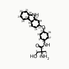 CC(N)(CO)C(=O)Nc1ccc(Oc2ccc3c(c2)[nH]c2ccccc23)cc1